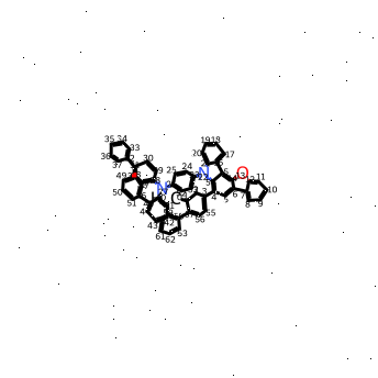 CC1CC(c2cc3c4ccccc4oc3c3c4ccccc4n(-c4ccc(N(c5ccc(-c6ccccc6)cc5)c5ccccc5-c5ccccc5)cc4)c23)=CC=C1c1ccccc1